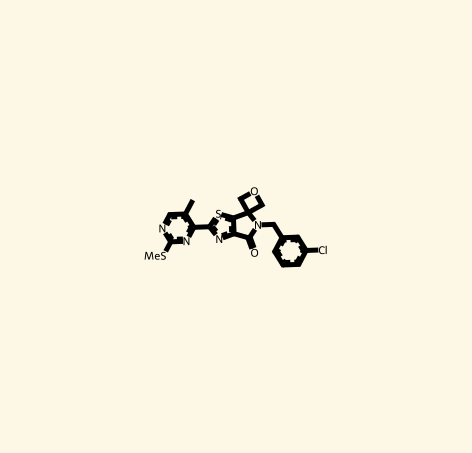 CSc1ncc(C)c(-c2nc3c(s2)C2(COC2)N(Cc2cccc(Cl)c2)C3=O)n1